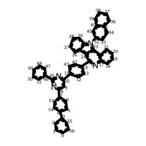 c1ccc(-c2ccc(-c3cc(-c4ccc(-c5nc6ccccc6c6c5c5ccccc5n6-c5ccc6ccccc6c5)cc4)nc(-c4ccccc4)n3)cc2)cc1